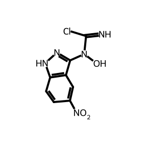 N=C(Cl)N(O)c1n[nH]c2ccc([N+](=O)[O-])cc12